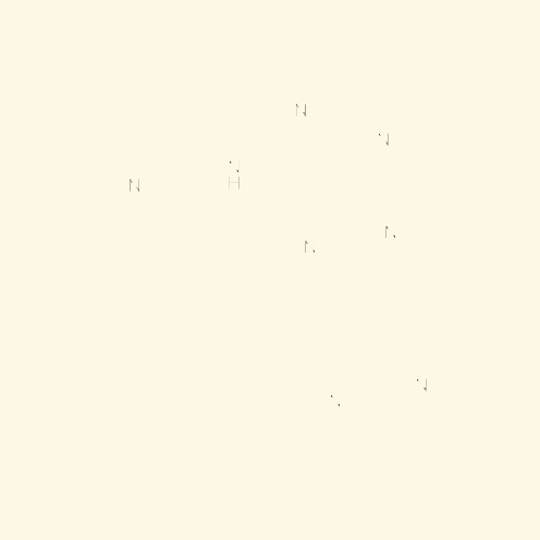 CC[C@H](Nc1ncnc2c1nc(-c1cnc(C)nc1)n2CC)C(=O)N1CCC2CCCCC2C1